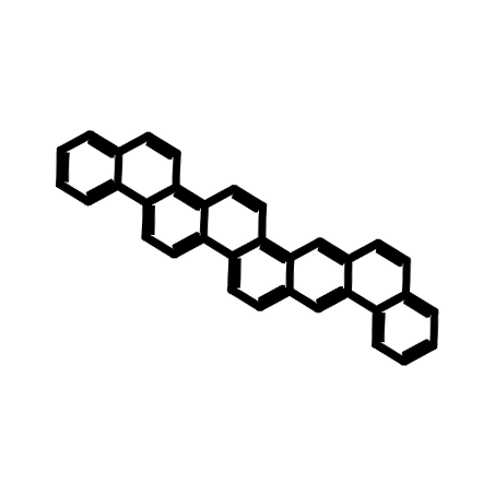 c1ccc2c(c1)ccc1cc3c(ccc4c3ccc3c5ccc6ccccc6c5ccc43)cc12